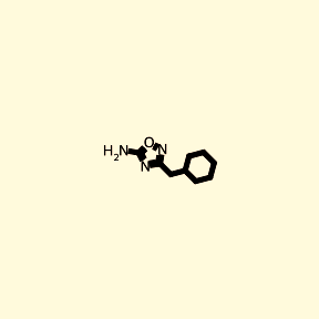 Nc1nc(CC2CCCCC2)no1